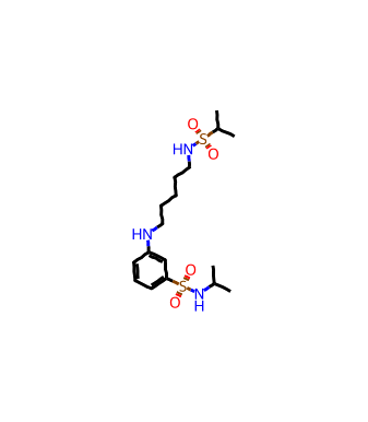 CC(C)NS(=O)(=O)c1cccc(NCCCCCNS(=O)(=O)C(C)C)c1